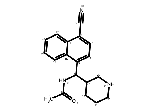 CC(=O)NC(c1ccc(C#N)c2ccccc12)C1CCCNC1